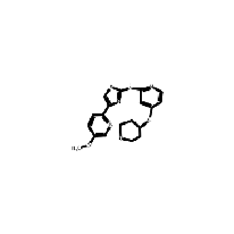 COc1ccc(-c2csc(Nc3cc(OC4CCOCC4)ccn3)n2)nc1